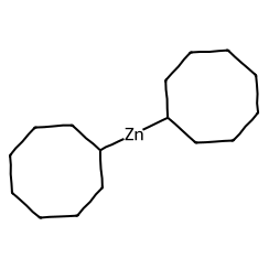 C1CCC[CH]([Zn][CH]2CCCCCCC2)CCC1